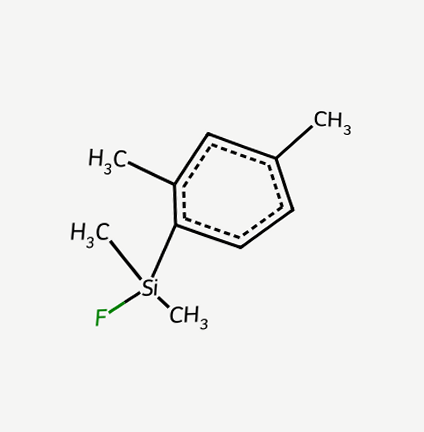 Cc1ccc([Si](C)(C)F)c(C)c1